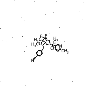 COC(C)(C(F)(F)F)C1(CCc2ccc(C#N)cc2)CCN(C(C)(C)c2ccc(C)nc2)C1